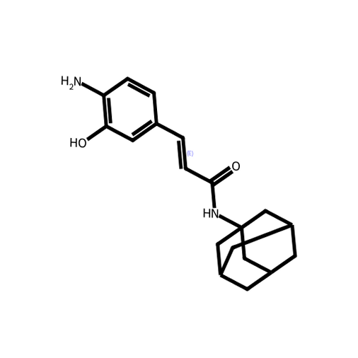 Nc1ccc(/C=C/C(=O)NC23CC4CC(CC(C4)C2)C3)cc1O